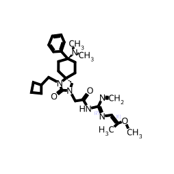 C=N/C(=N\C=C(/C)OC)NC(=O)CN1C[C@]2(CC[C@](c3ccccc3)(N(C)C)CC2)N(CC2CCC2)C1=O